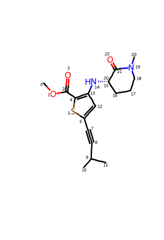 COC(=O)c1sc(C#CC(C)C)cc1N[C@H]1CCCN(C)C1=O